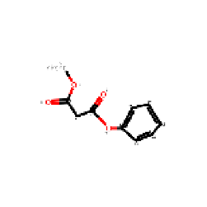 CCCCCOC(=O)CC(=O)Oc1ccccc1